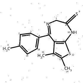 Cc1ccc(C2=NCC(=S)Nc3sc(C)c(C)c32)cc1